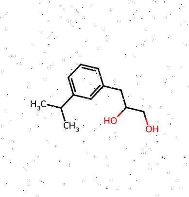 CC(C)c1cccc(CC(O)CO)c1